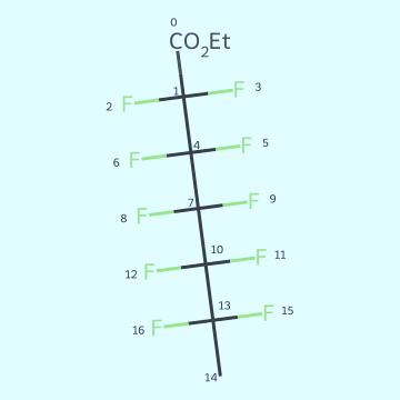 CCOC(=O)C(F)(F)C(F)(F)C(F)(F)C(F)(F)C(C)(F)F